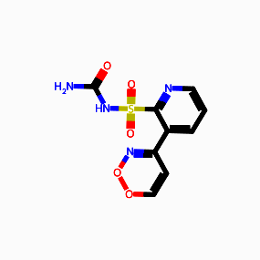 NC(=O)NS(=O)(=O)c1ncccc1C1=NOOC=C1